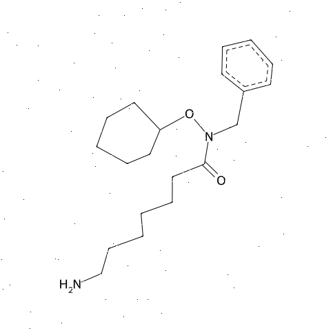 NCCCCCCC(=O)N(Cc1ccccc1)OC1CCCCC1